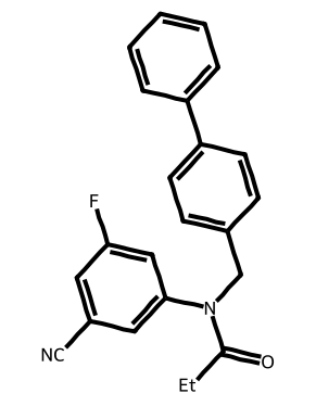 CCC(=O)N(Cc1ccc(-c2ccccc2)cc1)c1cc(F)cc(C#N)c1